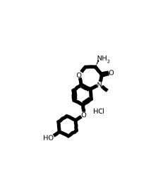 CN1C(=O)[C@@H](N)COc2ccc(OC3CCC(O)CC3)cc21.Cl